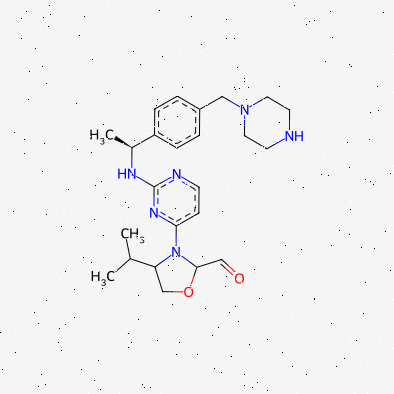 CC(C)C1COC(C=O)N1c1ccnc(N[C@@H](C)c2ccc(CN3CCNCC3)cc2)n1